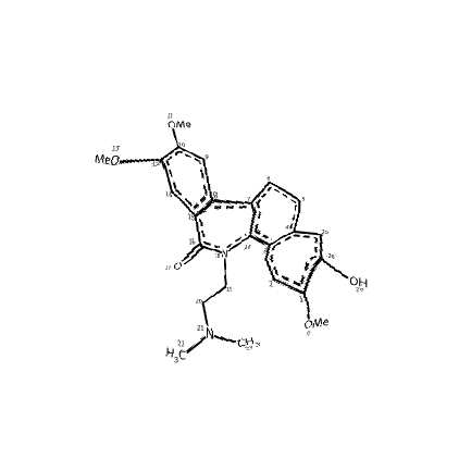 COc1cc2c(ccc3c4cc(OC)c(OC)cc4c(=O)n(CCN(C)C)c23)cc1O